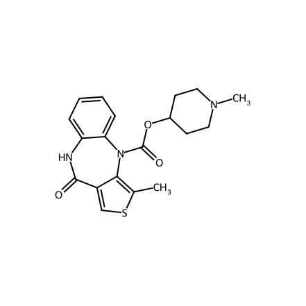 Cc1scc2c1N(C(=O)OC1CCN(C)CC1)c1ccccc1NC2=O